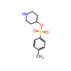 Cc1ccc(S(=O)(=O)OC2CCNCC2)cc1